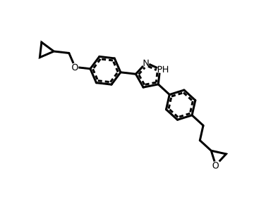 c1cc(-c2cc(-c3ccc(OCC4CC4)cc3)n[pH]2)ccc1CCC1CO1